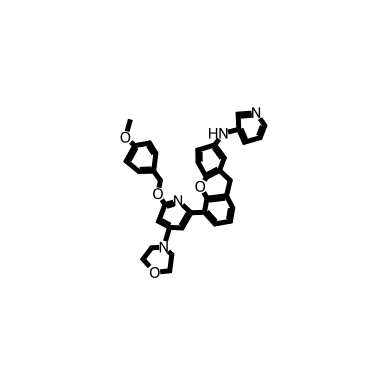 COc1ccc(COc2cc(N3CCOCC3)cc(-c3cccc4c3Oc3ccc(Nc5cccnc5)cc3C4)n2)cc1